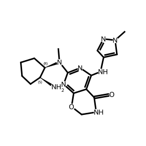 CN(c1nc(Nc2cnn(C)c2)c2c(n1)OCNC2=O)[C@@H]1CCCC[C@@H]1N